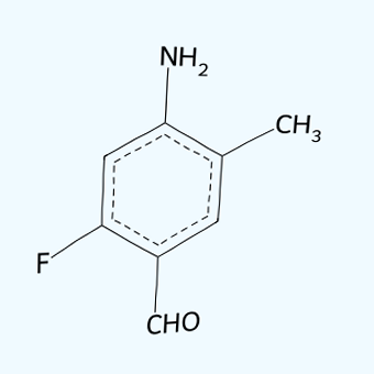 Cc1cc(C=O)c(F)cc1N